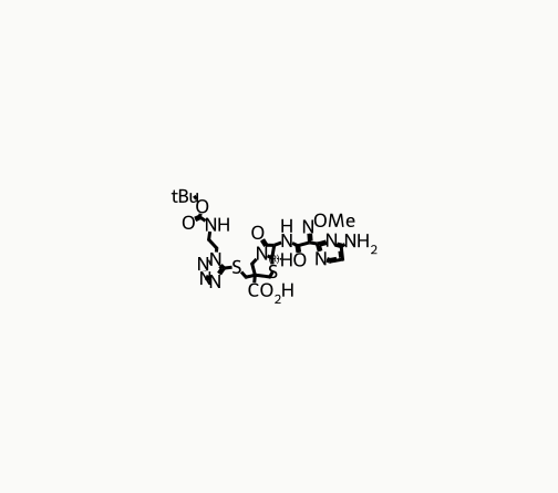 CON=C(C(=O)NC1C(=O)N2CC(CSc3nnnn3CCNC(=O)OC(C)(C)C)(C(=O)O)CS[C@H]12)c1nccc(N)n1